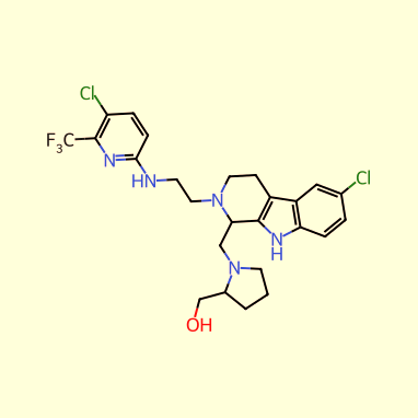 OCC1CCCN1CC1c2[nH]c3ccc(Cl)cc3c2CCN1CCNc1ccc(Cl)c(C(F)(F)F)n1